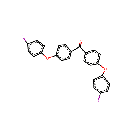 O=C(c1ccc(Oc2ccc(I)cc2)cc1)c1ccc(Oc2ccc(I)cc2)cc1